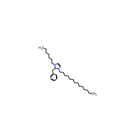 CCCCCCCCCCCCCCN1C=CN(CCCCCCC)C1Cc1ccccc1